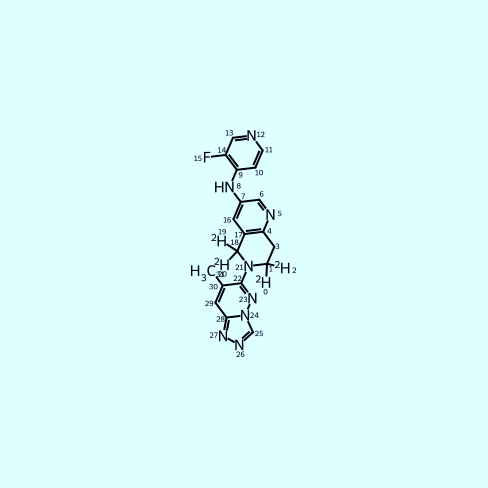 [2H]C1([2H])Cc2ncc(Nc3ccncc3F)cc2C([2H])([2H])N1c1nn2cnnc2cc1C